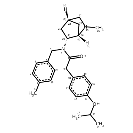 Cc1ccc(CN(C(=O)Cc2ccc(OC(C)C)cc2)[C@@H]2C[C@H]3C[C@@H]2N(C)C3)cc1